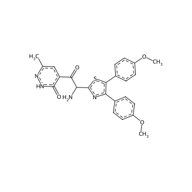 COc1ccc(-c2nc(C(N)C(=O)c3cc(C)n[nH]c3=O)sc2-c2ccc(OC)cc2)cc1